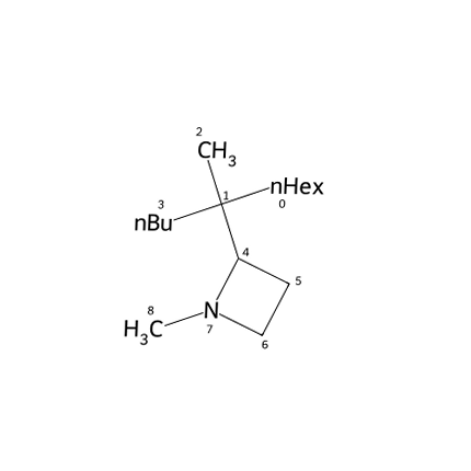 CCCCCCC(C)(CCCC)C1CCN1C